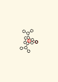 c1ccc(-c2ccc(-c3cc(-c4cc(-c5ccccc5)cc(-c5ccccc5)c4)c4cccc5c6cccc7c(-c8cc(-c9ccccc9)cc(-c9ccccc9)c8)cc(-c8ccc(-c9ccccc9)cc8)c(oc3c45)c76)cc2)cc1